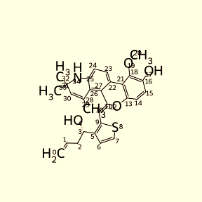 C=CC[C@H](O)c1ccsc1/C=C1\Oc2ccc(O)c(OC)c2-c2ccc3c(c21)C(C)=CC(C)(C)N3